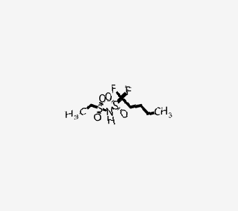 CCCCC(F)(F)S(=O)(=O)NS(=O)(=O)CC